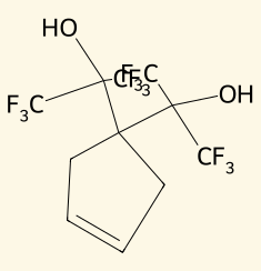 OC(C(F)(F)F)(C(F)(F)F)C1(C(O)(C(F)(F)F)C(F)(F)F)CC=CC1